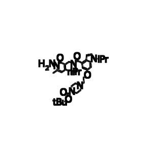 CCCc1cc(C)n(N)c(=O)c1CNC(=O)c1cc(OCCN2CCN(C(=O)OC(C)(C)C)CC2)cc2c1ccn2C(C)C